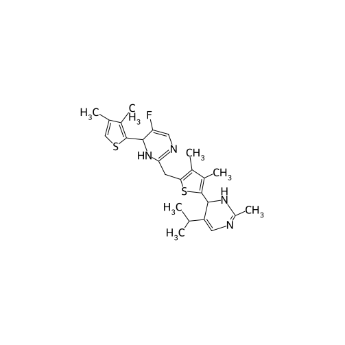 CC1=NC=C(C(C)C)C(c2sc(CC3=NC=C(F)C(c4scc(C)c4C)N3)c(C)c2C)N1